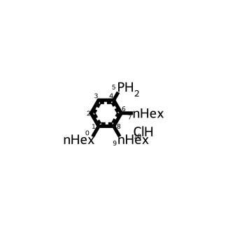 CCCCCCc1ccc(P)c(CCCCCC)c1CCCCCC.Cl